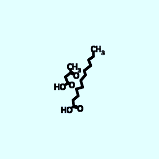 CC(=O)CC(=O)O.CCCCCCCCCCCC(=O)O